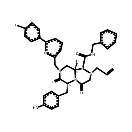 C=CCN1CC(=O)N2[C@@H](Cc3ccc(O)cc3)C(=O)N(Cc3cccc(-c4ccc(F)cc4)n3)C[C@@H]2N1C(=O)NCc1ccccc1